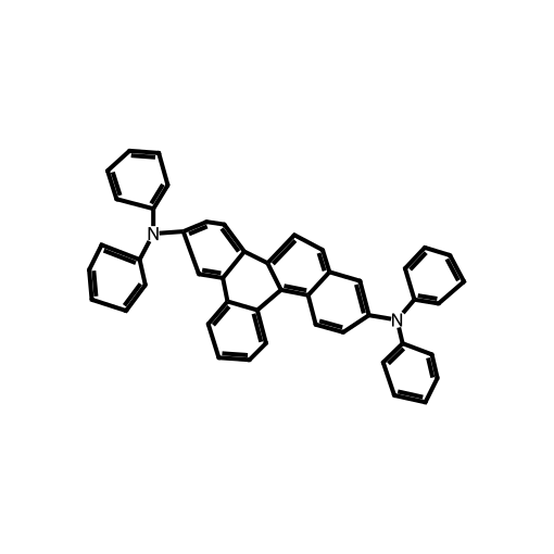 c1ccc(N(c2ccccc2)c2ccc3c(ccc4c5ccc(N(c6ccccc6)c6ccccc6)cc5c5ccccc5c34)c2)cc1